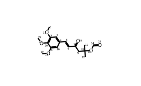 COc1cc(C=CC(=O)CC(C)(C)O[C]=O)cc(OC)c1OC